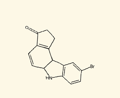 O=C1CCC2=C1C=CC1Nc3ccc(Br)cc3C21